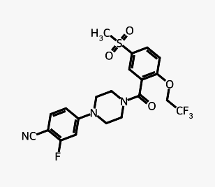 CS(=O)(=O)c1ccc(OCC(F)(F)F)c(C(=O)N2CCN(c3ccc(C#N)c(F)c3)CC2)c1